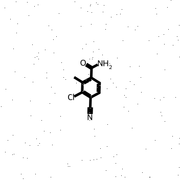 Cc1c(C(N)=O)ccc(C#N)c1Cl